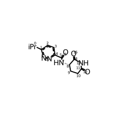 CC(C)c1ccc(C(=O)N[C@H]2CCC(=O)NC2=O)nn1